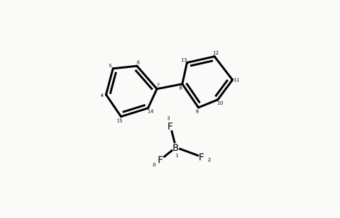 FB(F)F.c1ccc(-c2ccccc2)cc1